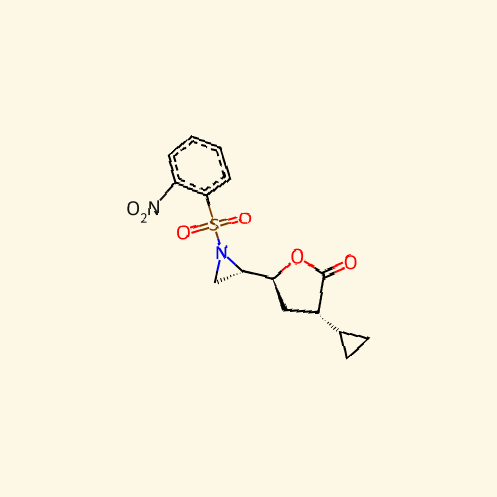 O=C1O[C@H]([C@@H]2CN2S(=O)(=O)c2ccccc2[N+](=O)[O-])C[C@H]1C1CC1